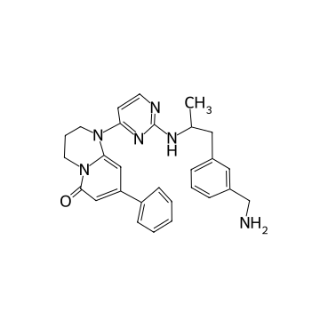 CC(Cc1cccc(CN)c1)Nc1nccc(N2CCCn3c2cc(-c2ccccc2)cc3=O)n1